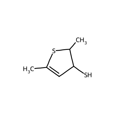 CC1=CC(S)C(C)S1